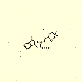 CC1(C)COC(CCN[C@@H](Cc2c[nH]c3ccccc23)C(=O)O)OC1